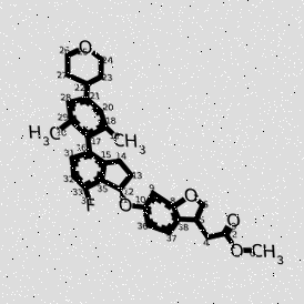 COC(=O)CC1COc2cc(O[C@@H]3CCc4c(-c5c(C)cc(C6CCOCC6)cc5C)ccc(F)c43)ccc21